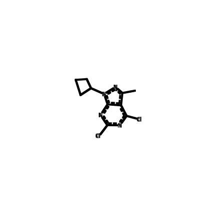 Cc1nn(C2CCC2)c2nc(Cl)nc(Cl)c12